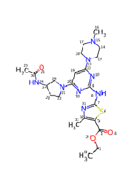 CCOC(=O)c1sc(Nc2nc(N3CCN(C)CC3)cc(N3CCC(NC(C)=O)C3)n2)nc1C